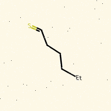 [CH2]CCCCC=S